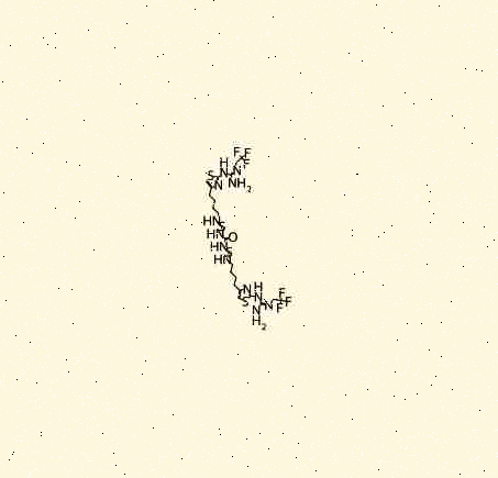 N/C(=N/CC(F)(F)F)Nc1nc(CCCCNSNC(=O)NSNCCCCc2csc(N/C(N)=N\CC(F)(F)F)n2)cs1